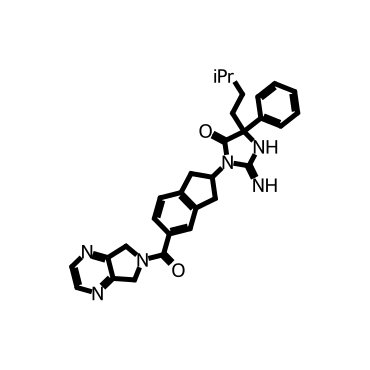 CC(C)CCC1(c2ccccc2)NC(=N)N(C2Cc3ccc(C(=O)N4Cc5nccnc5C4)cc3C2)C1=O